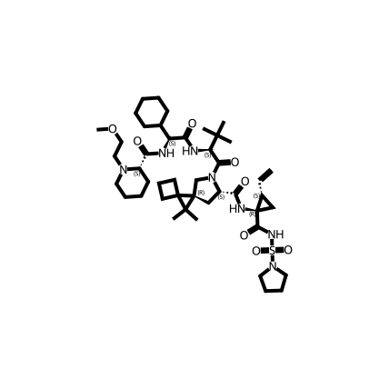 C=C[C@@H]1C[C@]1(NC(=O)[C@@H]1C[C@@]2(CN1C(=O)[C@@H](NC(=O)[C@@H](NC(=O)[C@@H]1CCCCN1CCOC)C1CCCCC1)C(C)(C)C)C(C)(C)C21CCC1)C(=O)NS(=O)(=O)N1CCCC1